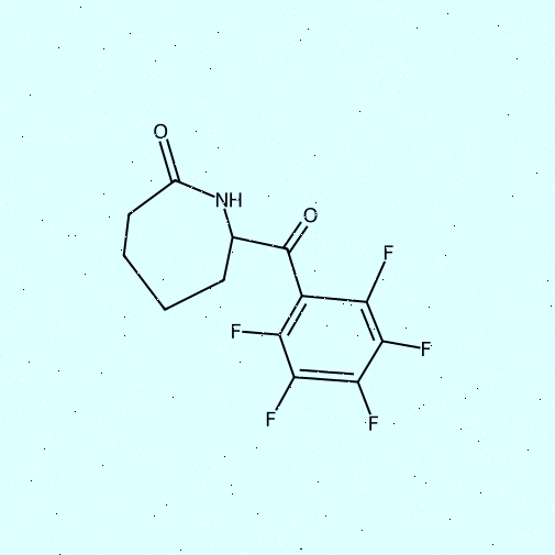 O=C1CCCCC(C(=O)c2c(F)c(F)c(F)c(F)c2F)N1